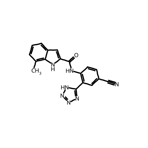 Cc1cccc2cc(C(=O)Nc3ccc(C#N)cc3-c3nnn[nH]3)[nH]c12